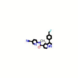 CN(C(=O)c1ccn2ncc(-c3ccc(CF)cc3)c2c1)c1ccc(C#N)cn1